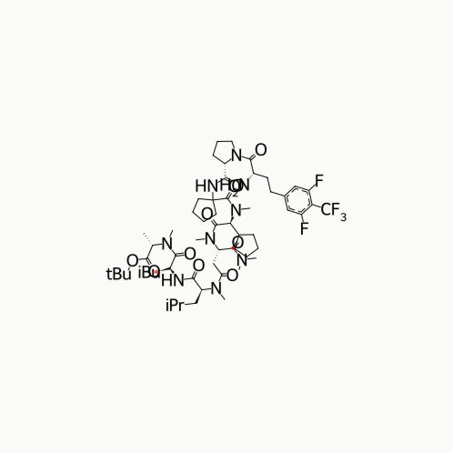 CC[C@H](C)[C@H](NC(=O)[C@H](CC(C)C)N(C)C(=O)C[C@@H](C(=O)N(C)C)N(C)C(=O)[C@H](C1CCCC1)N(C)C(=O)C1(NC(=O)[C@@H]2CCCN2C(=O)[C@@H](N)CCc2cc(F)c(C(F)(F)F)c(F)c2)CCCC1)C(=O)N(C)[C@@H](C)C(=O)OC(C)(C)C